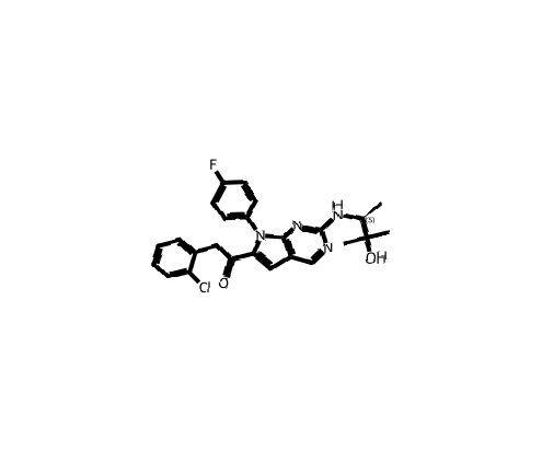 C[C@H](Nc1ncc2cc(C(=O)Cc3ccccc3Cl)n(-c3ccc(F)cc3)c2n1)C(C)(C)O